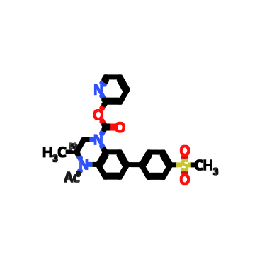 CC(=O)N1c2ccc(-c3ccc(S(C)(=O)=O)cc3)cc2N(C(=O)Oc2ccccn2)C[C@@H]1C